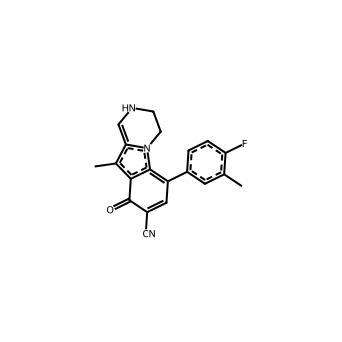 Cc1cc(C2=c3c(c(C)c4n3CCNC=4)C(=O)C(C#N)=C2)ccc1F